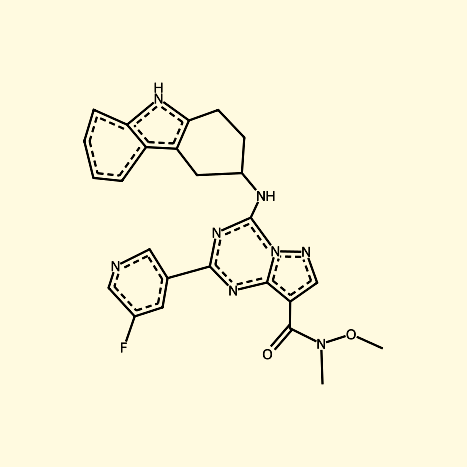 CON(C)C(=O)c1cnn2c(NC3CCc4[nH]c5ccccc5c4C3)nc(-c3cncc(F)c3)nc12